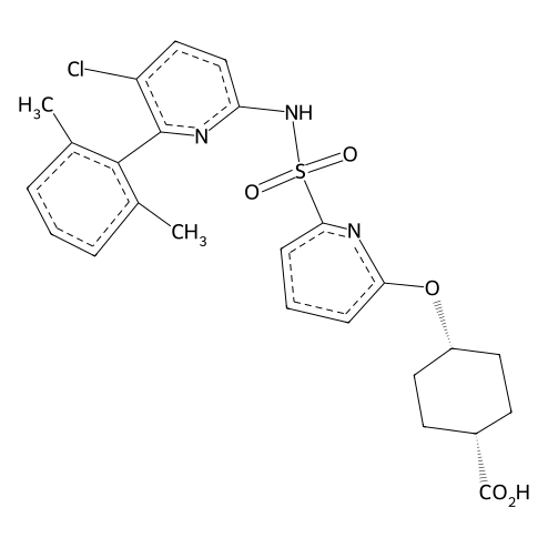 Cc1cccc(C)c1-c1nc(NS(=O)(=O)c2cccc(O[C@H]3CC[C@@H](C(=O)O)CC3)n2)ccc1Cl